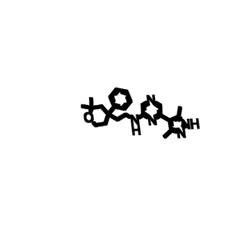 Cc1n[nH]c(C)c1-c1cncc(NCCC2(c3ccccc3)CCOC(C)(C)C2)n1